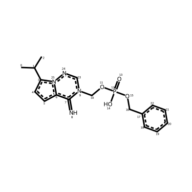 CC(C)c1ccc2c(=N)n(COP(=O)(O)OCc3ccccc3)cnn12